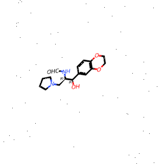 O=CN[C@H](CN1CCCC1)[C@H](O)c1ccc2c(c1)OCCO2